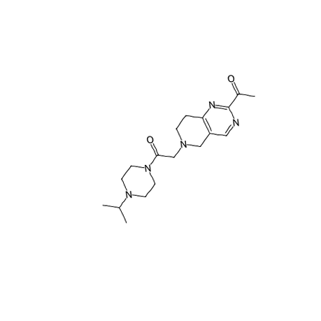 CC(=O)c1ncc2c(n1)CCN(CC(=O)N1CCN(C(C)C)CC1)C2